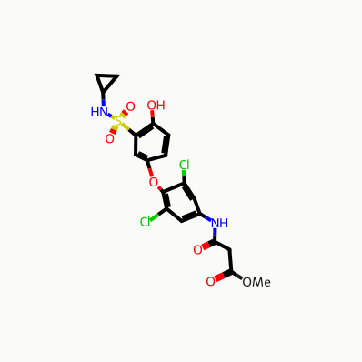 COC(=O)CC(=O)Nc1cc(Cl)c(Oc2ccc(O)c(S(=O)(=O)NC3CC3)c2)c(Cl)c1